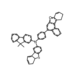 CC1(C)c2ccccc2-c2ccc(N(c3ccc(-c4cc5oc6c(c5c5ccccc45)CCC=C6)cc3)c3ccc4c(c3)C3=CC=CCC3S4)cc21